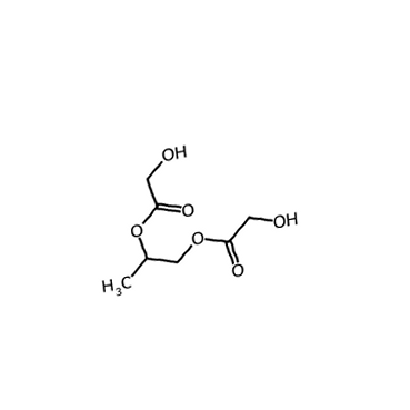 CC(COC(=O)CO)OC(=O)CO